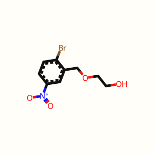 O=[N+]([O-])c1ccc(Br)c(COCCO)c1